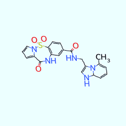 CC1=CC=CC2NC=C(CNC(=O)c3ccc4c(c3)NC(=O)c3cccn3S4(=O)=O)N12